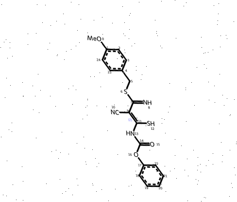 COc1ccc(CSC(=N)/C(C#N)=C(\S)NC(=O)Oc2ccccc2)cc1